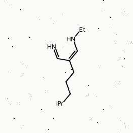 CCN/C=C(\C=N)CCCC(C)C